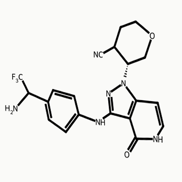 N#CC1CCOC[C@@H]1n1nc(Nc2ccc(C(N)C(F)(F)F)cc2)c2c(=O)[nH]ccc21